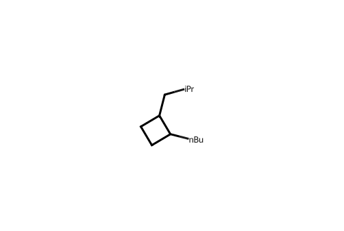 CCCCC1CC[C]1CC(C)C